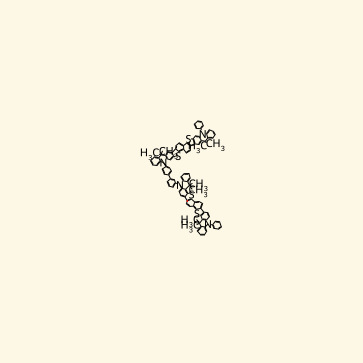 CC1(C)c2ccccc2N(c2ccccc2)c2cc3sc4c(ccc5c4ccc4c6cc7c(cc6sc45)N(c4ccc(-c5cccc(N6c8ccccc8C(C)(C)c8c6ccc6c8sc8c6ccc6c8ccc8c9ccc%10c(c9sc86)C(C)(C)c6ccccc6N%10c6ccccc6)c5)cc4)c4ccccc4C7(C)C)c3cc21